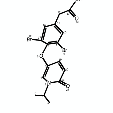 CC(C)n1cc(Oc2c(Br)cc(CC(=O)O)cc2Br)ccc1=O